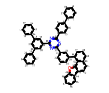 c1ccc(-c2ccc(-c3nc(-c4cc(-c5ccccc5)cc(-c5ccccc5)c4)nc(-c4cccc(-c5cccc6ccc7c8ccccc8oc7c56)c4)n3)cc2)cc1